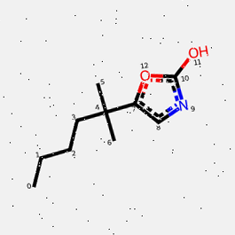 CCCCC(C)(C)c1cnc(O)o1